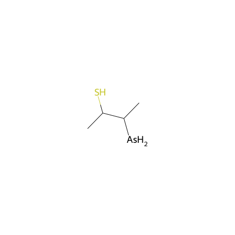 CC(S)C(C)[AsH2]